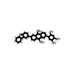 CC(C)c1cc(C(C)C)c(C(C)C)cc1-c1ccc2c(C(C)(C)C)c3cc(-c4ccc5sc6ccccc6c5c4)ccc3c(C(C)(C)C)c2c1